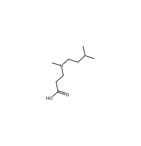 CC(C)CCN(C)CCC(=O)O